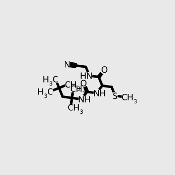 CSCC(NC(=O)NC(C)(C)CC(C)(C)C)C(=O)NCC#N